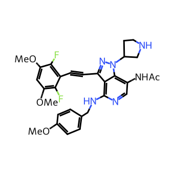 COc1ccc(CNc2ncc(NC(C)=O)c3c2c(C#Cc2c(F)c(OC)cc(OC)c2F)nn3C2CCNC2)cc1